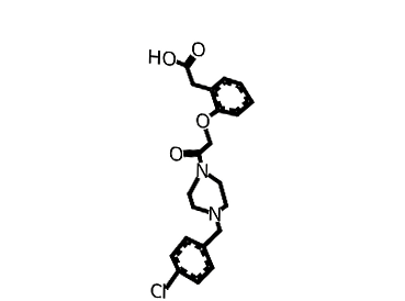 O=C(O)Cc1ccccc1OCC(=O)N1CCN(Cc2ccc(Cl)cc2)CC1